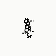 C=C(CC[C@@H](C(=O)O)[C@H]1[C@H](O)C[C@@]2(C)C3=C[C@H](O)[C@H]4C(C)(C)C(C)CC[C@]4(C)C3=CC[C@]12C)C(C)C